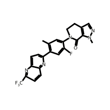 Cc1cc(N2CCc3cnn(C)c3C2=O)c(F)cc1-c1ccc2nc(C(F)(F)F)ccc2n1